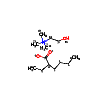 CCCCC(CC)C(=O)[O-].C[N+](C)(C)CCO